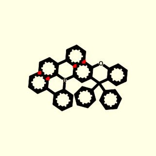 c1ccc(-c2ccccc2B(c2ccc3c(c2)C(c2ccccc2)(c2ccccc2)c2ccccc2O3)c2ccccc2-c2ccccc2)cc1